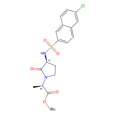 C[C@H](C(=O)OC(C)(C)C)N1CC[C@H](NS(=O)(=O)c2ccc3cc(Cl)ccc3c2)C1=O